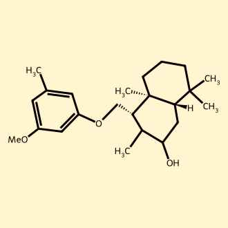 COc1cc(C)cc(OC[C@H]2C(C)C(O)C[C@H]3C(C)(C)CCC[C@]23C)c1